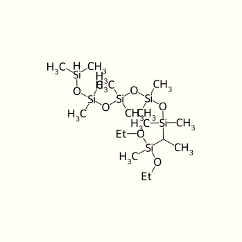 CCO[Si](C)(OCC)C(C)[Si](C)(C)O[Si](C)(C)O[Si](C)(C)O[Si](C)(C)O[SiH](C)C